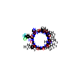 CC[C@H](C)[C@@H]1NC(=O)[C@H](CC(C)C)N(C)C(=O)C[C@@H](C(=O)N(C)C)N(C)C(=O)[C@H]([C@@H](C)CC)N(C)C(=O)[C@H](C)NC(=O)[C@H](Cc2ccncc2)N(C)C(=O)C(CCc2ccc(C(F)(F)F)c(Cl)c2)NC(=O)CN(C)C(=O)[C@H](Cc2ccc(C)cc2)N(C)C(=O)[C@@H]2CCN2C(=O)[C@H](C)N(C)C1=O